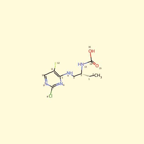 CC[C@H](CNc1nc(Cl)ncc1F)NC(=O)O